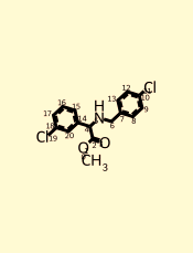 COC(=O)C(NCc1ccc(Cl)cc1)c1cccc(Cl)c1